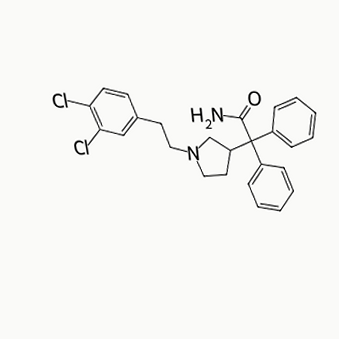 NC(=O)C(c1ccccc1)(c1ccccc1)C1CCN(CCc2ccc(Cl)c(Cl)c2)C1